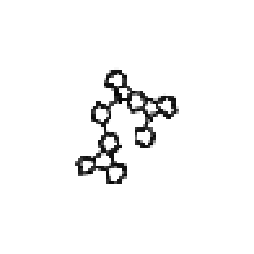 c1ccc(-n2c3ccccc3c3cc4c5ccccc5n(-c5cccc(-c6ccc7c8ccccc8c8ccccc8c7c6)c5)c4cc32)cc1